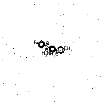 CN1CC[N+](C)(c2ccc(S(=O)(=O)c3ccc(F)cc3)c(N)c2)CC1